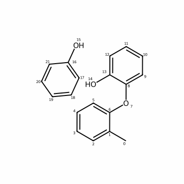 Cc1ccccc1Oc1ccccc1O.Oc1ccccc1